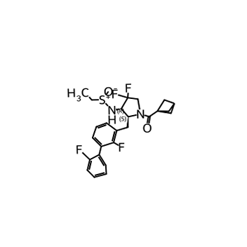 CC[S+]([O-])N[C@@H]1[C@H](Cc2cccc(-c3ccccc3F)c2F)N(C(=O)C23CC(C2)C3)CC1(F)F